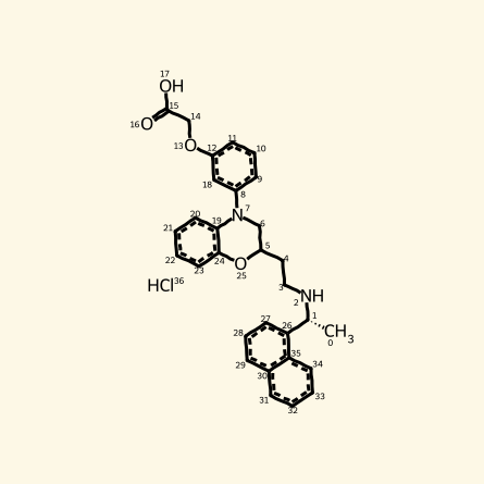 C[C@@H](NCCC1CN(c2cccc(OCC(=O)O)c2)c2ccccc2O1)c1cccc2ccccc12.Cl